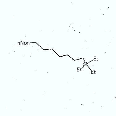 CCCCCCCCCCCCCCC[CH][Si](CC)(CC)CC